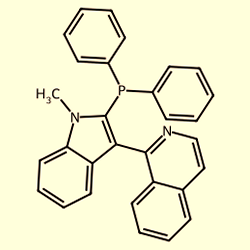 Cn1c(P(c2ccccc2)c2ccccc2)c(-c2nccc3ccccc23)c2ccccc21